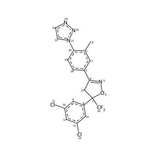 Cc1cc(C2=NOC(c3cc(Cl)cc(Cl)c3)(C(F)(F)F)C2)ccc1-n1ccnn1